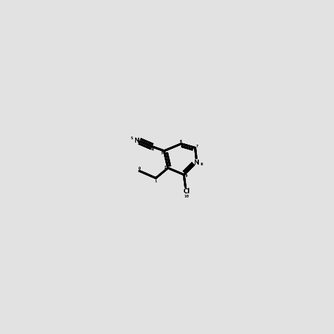 CCc1c(C#N)ccnc1Cl